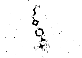 CC(C)(C)OC(=O)N1CCN([C@H]2C[C@H](OCCO)C2)CC1